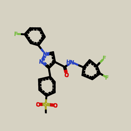 CS(=O)(=O)c1ccc(-c2nn(-c3cccc(F)c3)cc2C(=O)Nc2ccc(F)c(F)c2)cc1